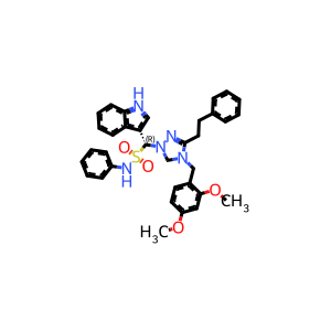 COc1ccc(CN2CN([C@@H](c3c[nH]c4ccccc34)S(=O)(=O)Nc3ccccc3)N=C2CCc2ccccc2)c(OC)c1